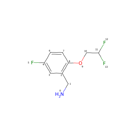 NCc1cc(F)ccc1OCC(F)F